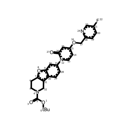 CC(C)(C)OC(=O)N1CCc2oc3cc(-n4ccc(OCc5ccc(F)cn5)cc4=O)ccc3c2C1